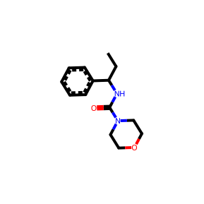 CCC(NC(=O)N1CCOCC1)c1ccccc1